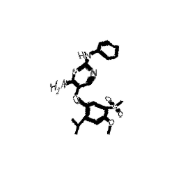 COc1cc(C(C)C)c(Oc2cnc(Nc3ccccc3)nc2N)cc1S(C)(=O)=O